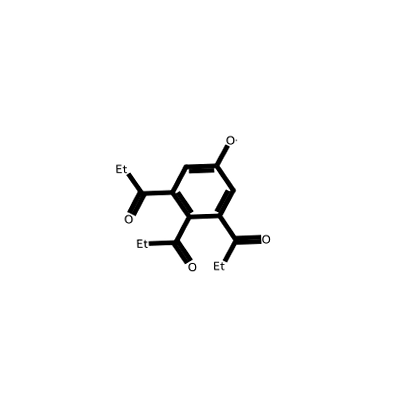 CCC(=O)c1cc([O])cc(C(=O)CC)c1C(=O)CC